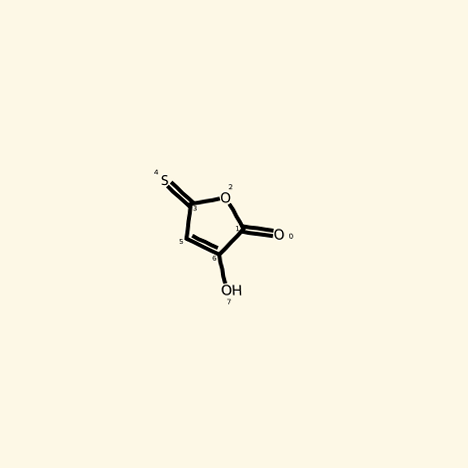 O=C1OC(=S)C=C1O